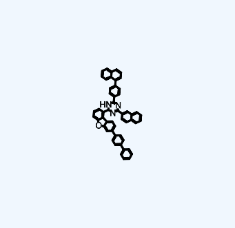 c1ccc(-c2ccc(-c3ccc4c(c3)oc3cccc(C5N=C(c6ccc7ccccc7c6)N=C(c6ccc(-c7cccc8ccccc78)cc6)N5)c34)cc2)cc1